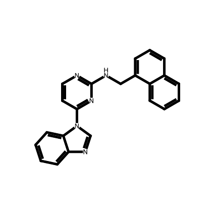 c1ccc2c(CNc3nccc(-n4cnc5ccccc54)n3)cccc2c1